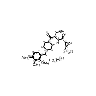 CCOC(=O)[C@@H]1O[C@H]1C(=O)N[C@@H](CC(C)C)C(=O)N1CCN(Cc2ccc(OC)c(OC)c2OC)CC1.O=S(=O)(O)O